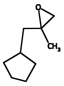 CC1(CC2CCCC2)CO1